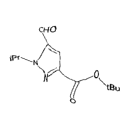 CC(C)n1nc(C(=O)OC(C)(C)C)cc1C=O